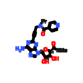 CNC(=O)[C@H]1O[C@@H](n2cnc3c(N)nc(C#CCN(C(=O)c4ccncc4)C(C)C)nc32)[C@H](O)C1O